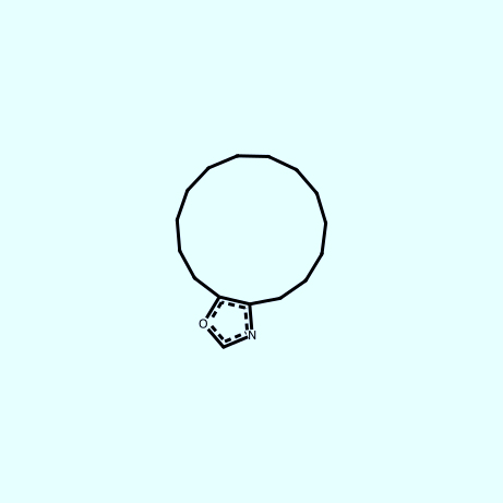 c1nc2c(o1)CCCCCCCCCCCCC2